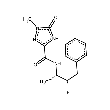 CC[C@@H](Cc1ccccc1)[C@H](C)NC(=O)c1nn(C)c(=O)[nH]1